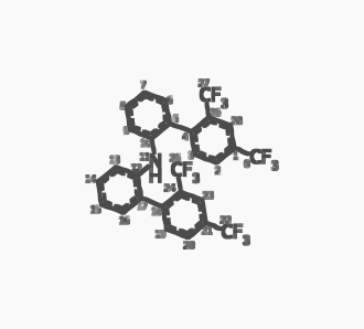 FC(F)(F)c1ccc(-c2ccccc2Nc2ccccc2-c2ccc(C(F)(F)F)cc2C(F)(F)F)c(C(F)(F)F)c1